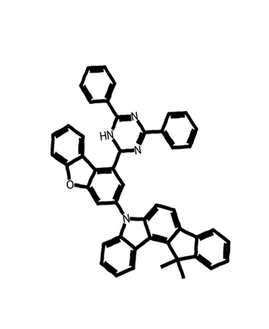 CC1(C)c2ccccc2-c2ccc3c(c21)c1ccccc1n3-c1cc(C2N=C(c3ccccc3)N=C(c3ccccc3)N2)c2c(c1)oc1ccccc12